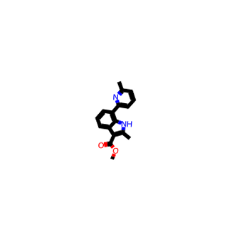 COC(=O)c1c(C)[nH]c2c(-c3cccc(C)n3)cccc12